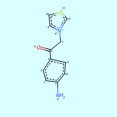 Nc1ccc(C(=O)C[n+]2ccsc2)cc1